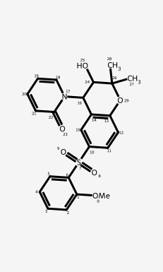 COc1ccccc1S(=O)(=O)c1ccc2c(c1)C(n1ccccc1=O)C(O)C(C)(C)O2